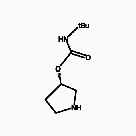 CC(C)(C)NC(=O)O[C@H]1CCNC1